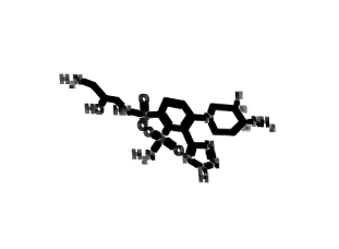 NCC(O)CNS(=O)(=O)c1ccc(N2CC[C@H](N)[C@H](F)C2)c(-c2nn[nH]n2)c1S(N)(=O)=O